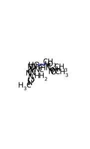 C=C(Nc1ncnc2cnc(N3CCCN(C)CC3)nc12)/C(O)=C\C=C(/C)C(=O)Nc1cc(C(C)(C)I)on1